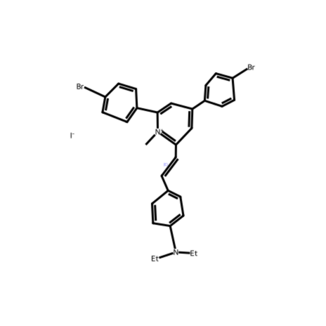 CCN(CC)c1ccc(/C=C/c2cc(-c3ccc(Br)cc3)cc(-c3ccc(Br)cc3)[n+]2C)cc1.[I-]